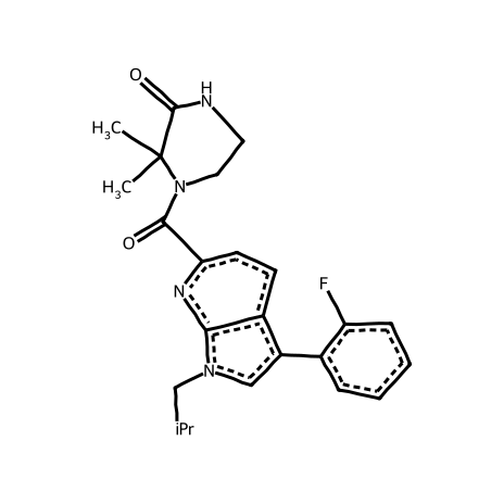 CC(C)Cn1cc(-c2ccccc2F)c2ccc(C(=O)N3CCNC(=O)C3(C)C)nc21